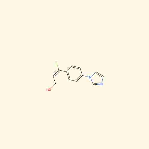 OC/C=C(/F)c1ccc(-n2ccnc2)cc1